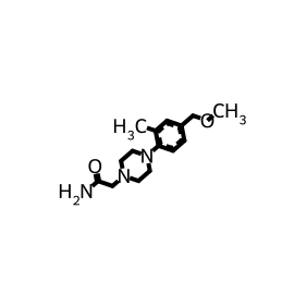 COCc1ccc(N2CCN(CC(N)=O)CC2)c(C)c1